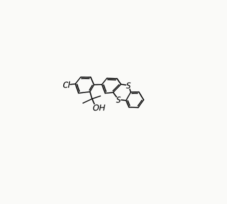 CC(C)(O)c1cc(Cl)ccc1-c1ccc2c(c1)Sc1ccccc1S2